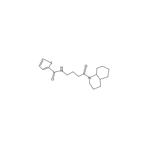 O=C(NCCCC(=O)N1CCCC2CCCCC21)c1cccs1